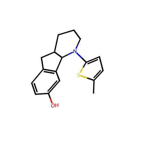 Cc1ccc(N2CCCC3Cc4ccc(O)cc4C32)s1